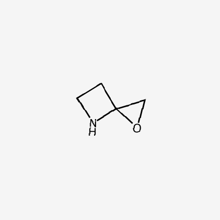 C1CC2(CO2)N1